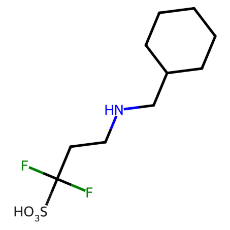 O=S(=O)(O)C(F)(F)CCNCC1CCCCC1